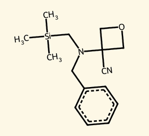 C[Si](C)(C)CN(Cc1ccccc1)C1(C#N)COC1